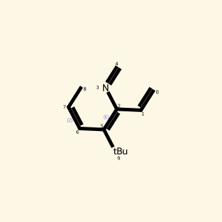 C=C/C(N=C)=C(/C=C\C)C(C)(C)C